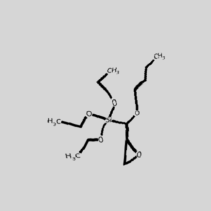 CCCCOC(C1CO1)[Si](OCC)(OCC)OCC